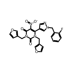 O=c1c([N+](=O)[O-])c(-c2cnn(Cc3ccccc3F)c2)n(Cc2ccoc2)c(=O)n1Cc1ccoc1